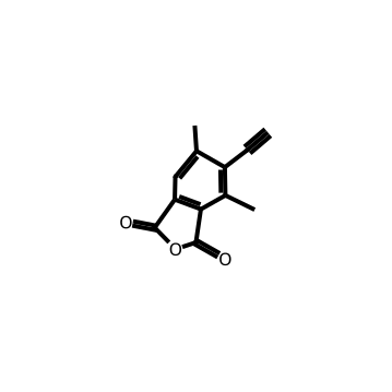 C#Cc1c(C)cc2c(c1C)C(=O)OC2=O